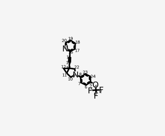 FC(F)(F)Oc1ccc(N2CC3CC3(C#Cc3ccccn3)C2)cc1